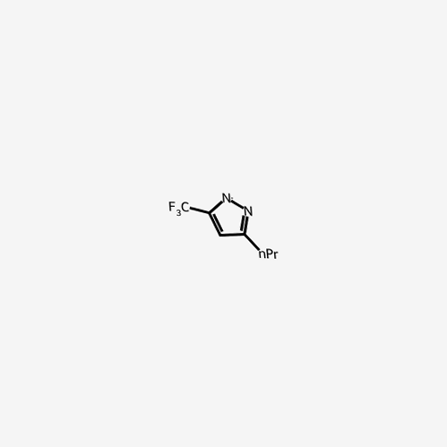 CCCC1=N[N]C(C(F)(F)F)=C1